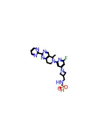 CC1c2cnc(-c3ncccn3)nc2CCN1c1cc(N2CC(CN[SH](=O)=O)C2)cc(F)n1